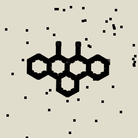 O=c1c2ccccc2c2cccc3c4ccncc4c(=O)n1c23